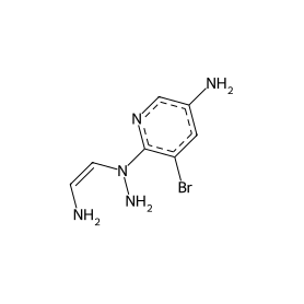 N/C=C\N(N)c1ncc(N)cc1Br